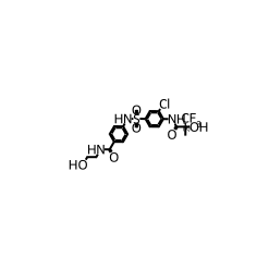 C[C@@](O)(C(=O)Nc1ccc(S(=O)(=O)Nc2ccc(C(=O)NCCO)cc2)cc1Cl)C(F)(F)F